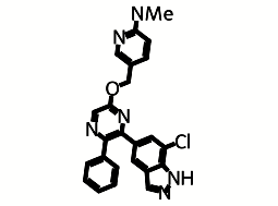 CNc1ccc(COc2cnc(-c3ccccc3)c(-c3cc(Cl)c4[nH]ncc4c3)n2)cn1